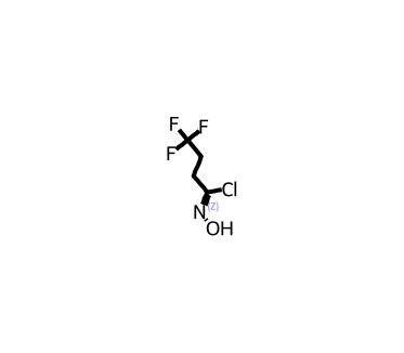 O/N=C(\Cl)CCC(F)(F)F